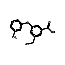 Cc1cccc(Oc2cc(CO)cc(C(=O)O)c2)c1